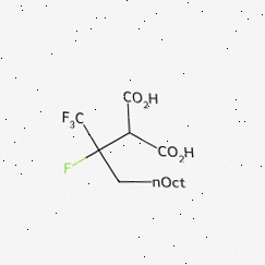 CCCCCCCCCC(F)(C(C(=O)O)C(=O)O)C(F)(F)F